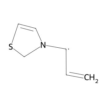 C=C[CH]N1C=CSC1